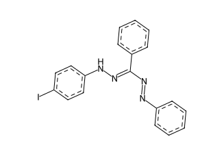 Ic1ccc(N/N=C(/N=N/c2ccccc2)c2ccccc2)cc1